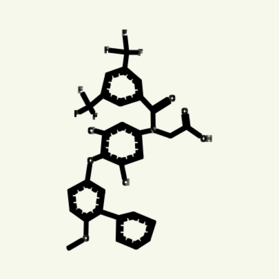 COc1ccc(Oc2c(Cl)cc(N(CC(=O)O)C(=O)c3cc(C(F)(F)F)cc(C(F)(F)F)c3)cc2Cl)cc1-c1ccccc1